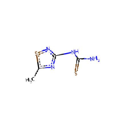 Cc1nc(NC(N)=S)ns1